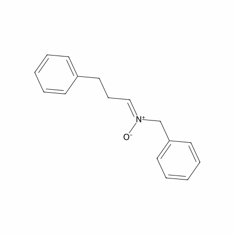 [O-][N+](=CCCc1ccccc1)Cc1ccccc1